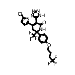 O=C1NC(c2ccc(OCCCC(F)(F)F)cc2)(C(F)(F)F)CC(c2ccc(Cl)s2)=C1c1nnn[nH]1